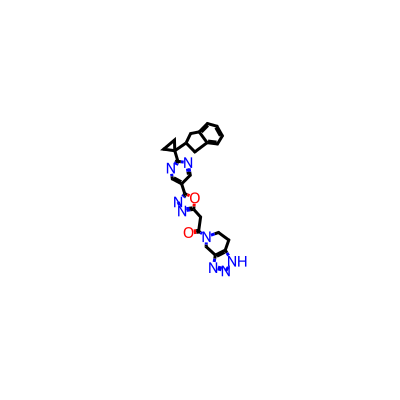 O=C(Cc1nnc(-c2cnc(C3(C4Cc5ccccc5C4)CC3)nc2)o1)N1CCc2[nH]nnc2C1